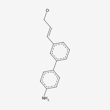 Nc1ccc(-c2cccc(/C=C/C[O])c2)cc1